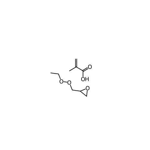 C=C(C)C(=O)O.CCOOCC1CO1